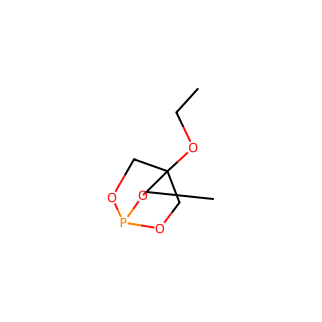 CCOC12COP(OC1)OC2C